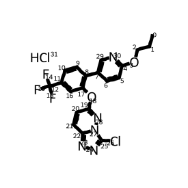 CCCOc1ccc(-c2ccc(C(F)(F)F)cc2Oc2ccc3nnc(Cl)n3n2)cn1.Cl